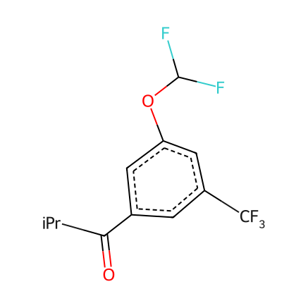 CC(C)C(=O)c1cc(OC(F)F)cc(C(F)(F)F)c1